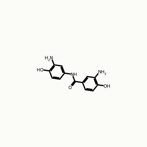 Nc1cc(NC(=O)c2ccc(O)c(N)c2)ccc1O